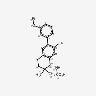 CCOc1cccc(-c2cc3c(cc2F)[C@H](NC(=O)O)C(C)(C)CC3)c1